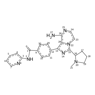 C=C(Nc1ccccn1)c1ccc(-c2nc(C3CCCN3C)n3ccnc(N)c23)cc1